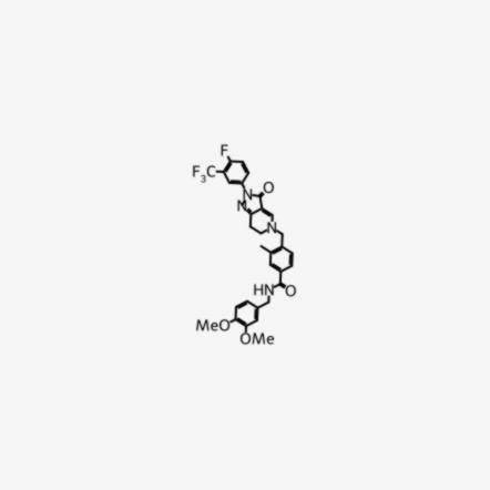 COc1ccc(CNC(=O)c2ccc(CN3C=C4C(=O)N(c5ccc(F)c(C(F)(F)F)c5)N=C4CC3)c(C)c2)cc1OC